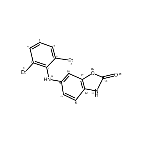 CCc1cccc(CC)c1Nc1ccc2[nH]c(=O)oc2c1